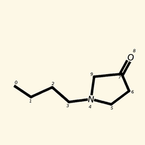 CCCCN1CCC(=O)C1